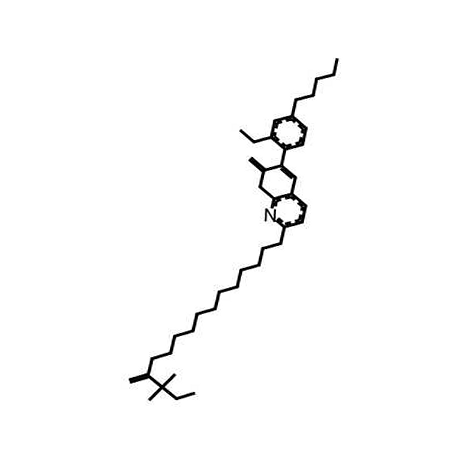 C=C1Cc2nc(CCCCCCCCCCCCC(=C)C(C)(C)CC)ccc2C=C1c1ccc(CCCCC)cc1CC